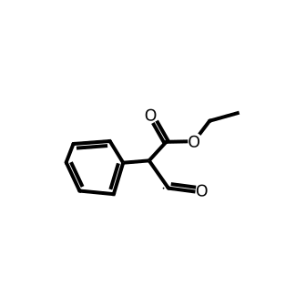 CCOC(=O)C([C]=O)c1ccccc1